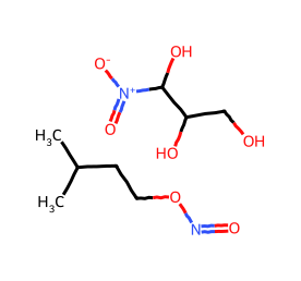 CC(C)CCON=O.O=[N+]([O-])C(O)C(O)CO